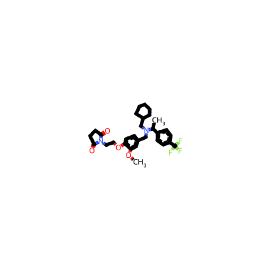 COc1cc(CN(CC2CCCCC2)C(C)c2ccc(C(F)(F)F)cc2)ccc1OCCN1C(=O)CCC1=O